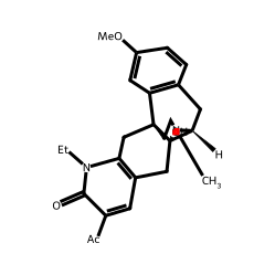 CCn1c2c(cc(C(C)=O)c1=O)C[C@@]1(O)[C@H]3Cc4ccc(OC)cc4[C@@]1(CCN3C)C2